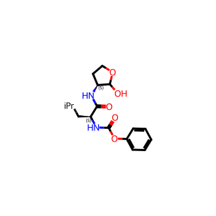 CC(C)C[C@H](NC(=O)Oc1ccccc1)C(=O)N[C@H]1CCOC1O